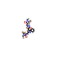 CCN1C(=O)/C(=C/c2nc3c(s2)-c2sc(/C=C4\SC(=S)N(CC)C4=O)nc2C2(CCCCC2)O3)SC1=S